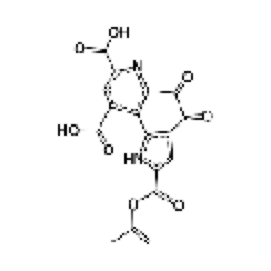 C=C(C)OC(=O)c1cc2c([nH]1)-c1c(C(=O)O)cc(C(=O)O)nc1C(=O)C2=O